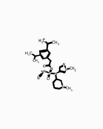 CC(C)c1cc(CC(=O)N=S(=O)(NC#N)N(c2cnn(C)c2)C2CCCN(C)C2)cc(C(C)C)c1